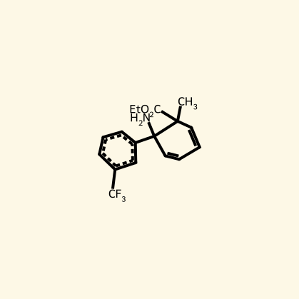 CCOC(=O)C1(C)C=CC=CC1(N)c1cccc(C(F)(F)F)c1